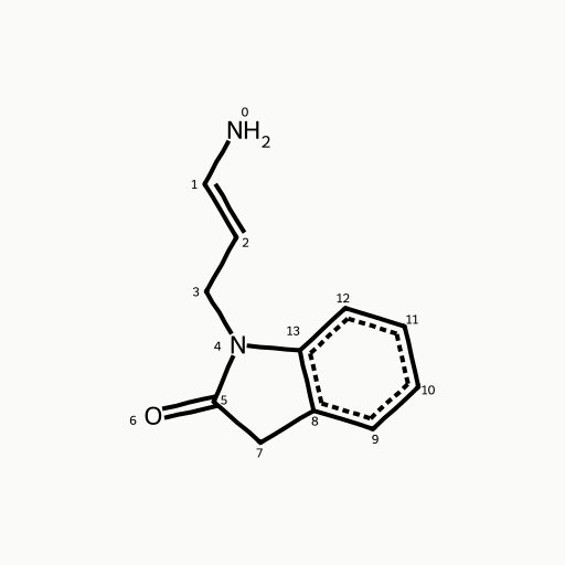 NC=CCN1C(=O)Cc2ccccc21